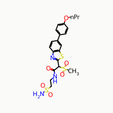 CCCOc1ccc(-c2ccc3nc(C(C(=O)NCCS(N)(=O)=O)S(C)(=O)=O)sc3c2)cc1